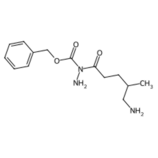 CC(CN)CCC(=O)N(N)C(=O)OCc1ccccc1